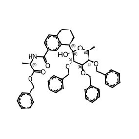 C[C@@H]1O[C@](O)([C@@H]2CCCc3ccc(C(=O)N[C@H](C)C(=O)OCc4ccccc4)cc32)[C@@H](OCc2ccccc2)[C@H](OCc2ccccc2)[C@@H]1OCc1ccccc1